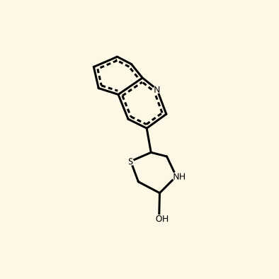 OC1CSC(c2cnc3ccccc3c2)CN1